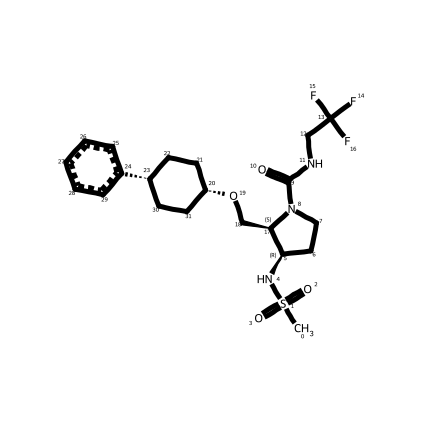 CS(=O)(=O)N[C@@H]1CCN(C(=O)NCC(F)(F)F)[C@@H]1CO[C@H]1CC[C@@H](c2ccccc2)CC1